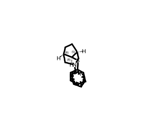 c1ccc(S[C@H]2[C@@H]3CC[C@H]2CN(c2ccccn2)C3)cc1